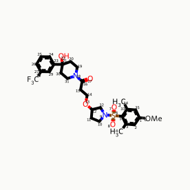 COc1cc(C)c(S(=O)(=O)N2CCC(OCCC(=O)N3CCC(O)(c4cccc(C(F)(F)F)c4)CC3)C2)c(C)c1